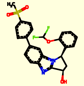 CS(=O)(=O)c1ccc(-c2ccc3nc4n(c3c2)[C@@H](c2ccccc2OC(F)F)C[C@H]4O)cc1